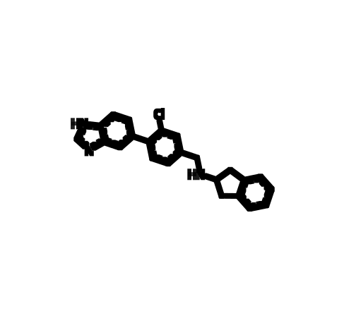 Clc1cc(CNC2Cc3ccccc3C2)ccc1-c1ccc2[nH]cnc2c1